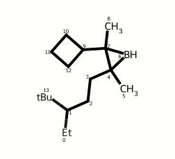 CCC(CCC1(C)BC1(C)C1CCC1)C(C)(C)C